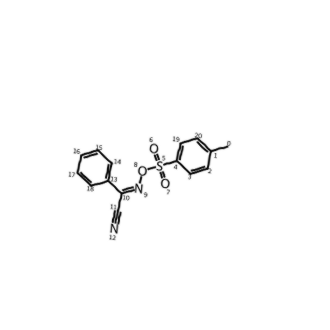 Cc1ccc(S(=O)(=O)O/N=C(/C#N)c2ccccc2)cc1